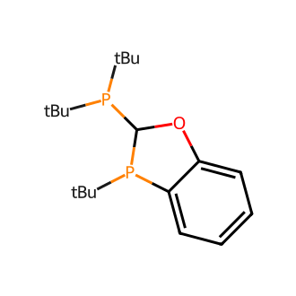 CC(C)(C)P1c2ccccc2OC1P(C(C)(C)C)C(C)(C)C